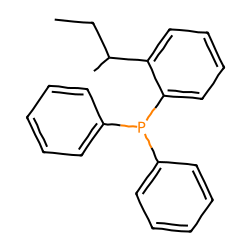 CCC(C)c1ccccc1P(c1ccccc1)c1ccccc1